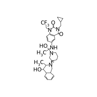 CC1C(O)C2C=CC=CC2CN1[C@@H]1CCCN(C(C)(O)Nc2ccc3c(c2)c(=O)n(CC2CC2)c(=O)n3CC(F)(F)F)C1